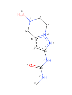 BN1CCn2nc(NC(=O)NC)cc2C1